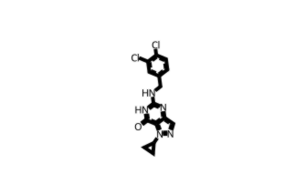 O=c1[nH]c(NCc2ccc(Cl)c(Cl)c2)nc2cnn(C3CC3)c12